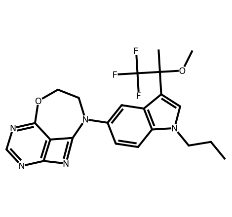 CCCn1cc(C(C)(OC)C(F)(F)F)c2cc(N3CCOc4ncnc5c4C3=N5)ccc21